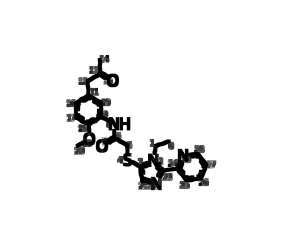 CCn1c(SCC(=O)Nc2cc(CC(C)=O)ccc2OC)cnc1-c1ccccn1